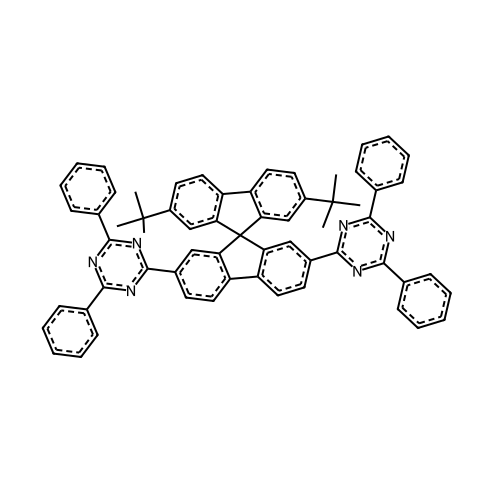 CC(C)(C)c1ccc2c(c1)C1(c3cc(-c4nc(-c5ccccc5)nc(-c5ccccc5)n4)ccc3-c3ccc(-c4nc(-c5ccccc5)nc(-c5ccccc5)n4)cc31)c1cc(C(C)(C)C)ccc1-2